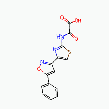 O=C(O)C(=O)Nc1nc(-c2cc(-c3ccccc3)on2)cs1